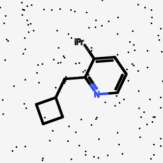 CC(C)c1cccnc1CC1CCC1